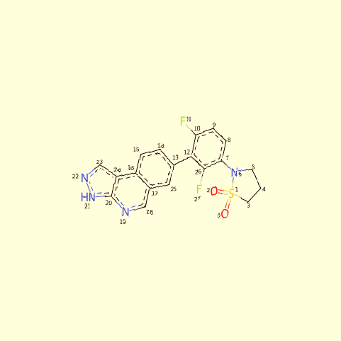 O=S1(=O)CCCN1c1ccc(F)c(-c2ccc3c(cnc4[nH]ncc43)c2)c1F